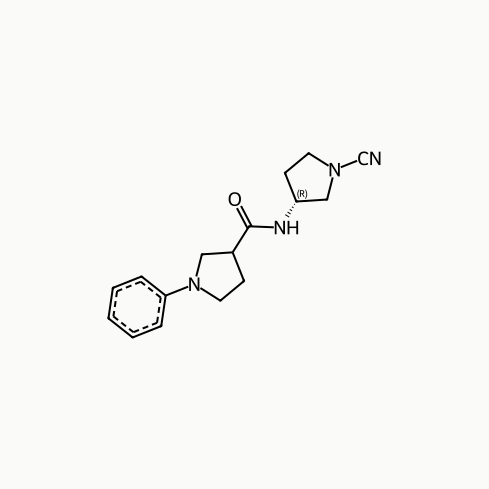 N#CN1CC[C@@H](NC(=O)C2CCN(c3ccccc3)C2)C1